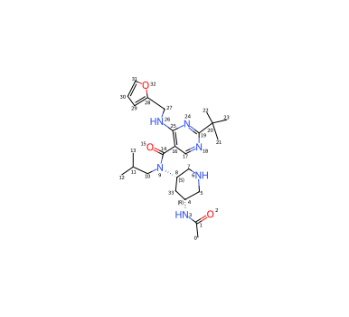 CC(=O)N[C@H]1CNC[C@@H](N(CC(C)C)C(=O)c2cnc(C(C)(C)C)nc2NCc2ccco2)C1